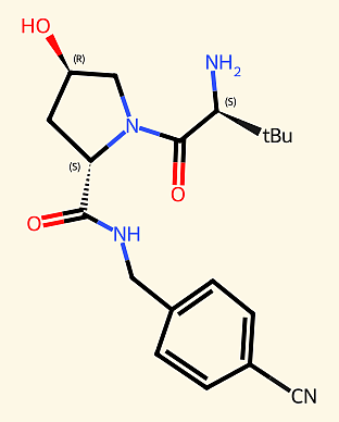 CC(C)(C)[C@H](N)C(=O)N1C[C@H](O)C[C@H]1C(=O)NCc1ccc(C#N)cc1